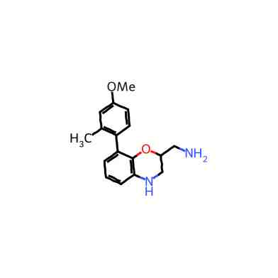 COc1ccc(-c2cccc3c2OC(CN)CN3)c(C)c1